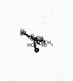 C/C=C\C(CCC(=O)NCC)[C@H]1C(O)CC(OC(=O)OCCCCO[N+](=O)[O-])[C@@H]1/C=C/[C@@H](O)CCc1ccccc1